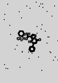 O=C(N[C@H]1CCCC[C@H]1C(=O)O)c1cnn2c(=O)cc(-c3ccccc3)[nH]c12